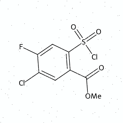 COC(=O)c1cc(Cl)c(F)cc1S(=O)(=O)Cl